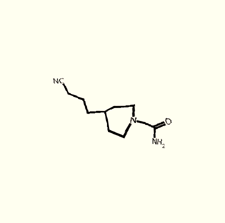 N#CCCCC1CCN(C(N)=O)CC1